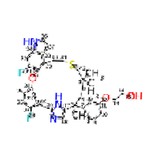 CC1(C)CCC(C)(c2cccc(OCCO)c2)c2cnc([nH]2)-c2cc(ccc2F)Oc2c(F)cc3[nH]ccc3c2CCSC1